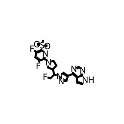 CS(=O)(=O)c1nc(N2CCC(C(CF)n3cc(-c4ncnc5[nH]ccc45)cn3)C2)c(F)cc1F